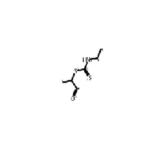 CCNC(=S)SC(C)C=O